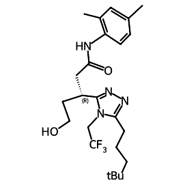 Cc1ccc(NC(=O)C[C@@H](CCO)c2nnc(CCCC(C)(C)C)n2CC(F)(F)F)c(C)c1